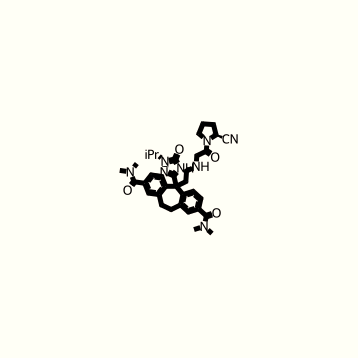 CC(C)n1nc(C2(CCNCC(=O)N3CCC[C@H]3C#N)c3ccc(C(=O)N(C)C)cc3CCc3cc(C(=O)N(C)C)ccc32)[nH]c1=O